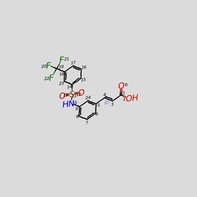 O=C(O)/C=C/c1cccc(NS(=O)(=O)c2cccc(C(F)(F)F)c2)c1